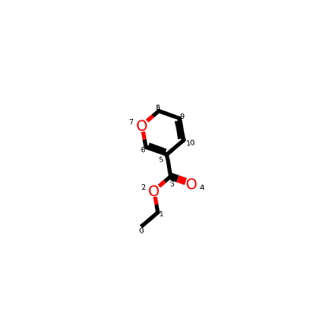 CCOC(=O)C1=COCC=C1